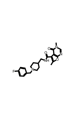 Cc1oc2ncn(C)c(=O)c2c1C(=O)NCC1CCN(Cc2ccc(F)cc2)CC1